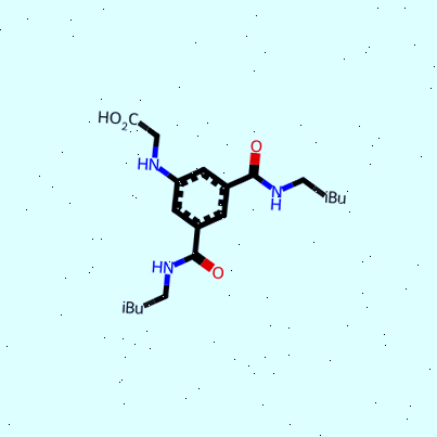 CCC(C)CNC(=O)c1cc(NCC(=O)O)cc(C(=O)NCC(C)CC)c1